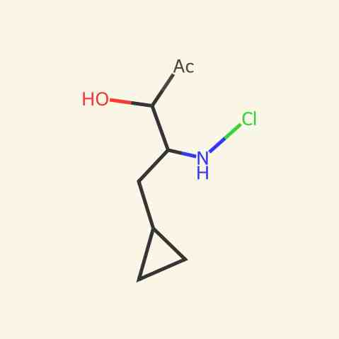 CC(=O)C(O)C(CC1CC1)NCl